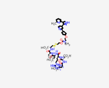 Cc1cccc(-c2c[nH]nc2-c2ccnc(-c3ccc(OCCN(C)C(=O)OCCSSC[C@H](NC(=O)[C@H](CC(=O)O)NC(=O)[C@H](CC(=O)O)NC(=O)[C@H](CCCNC(=N)N)NC(=O)[C@H](CC(=O)O)NC(=O)CC[C@H](N)C(=O)O)C(=O)O)cc3)c2)n1